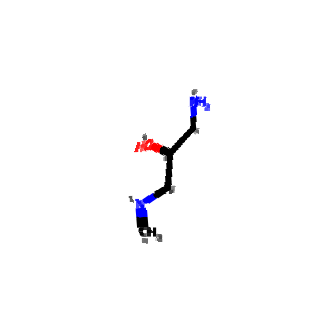 C=NCC(O)CN